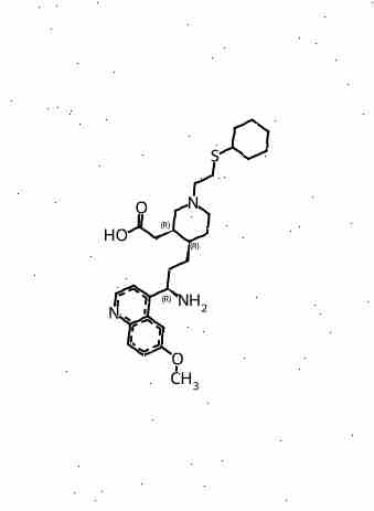 COc1ccc2nccc([C@H](N)CC[C@@H]3CCN(CCSC4CCCCC4)C[C@@H]3CC(=O)O)c2c1